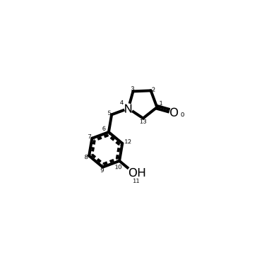 O=C1CCN(Cc2cccc(O)c2)C1